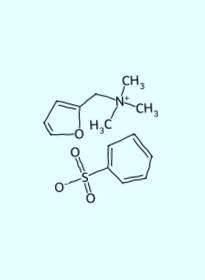 C[N+](C)(C)Cc1ccco1.O=S(=O)([O-])c1ccccc1